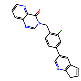 O=c1c2ncccc2ncn1Cc1ccc(-c2cnc3c(c2)C=CC3)cc1F